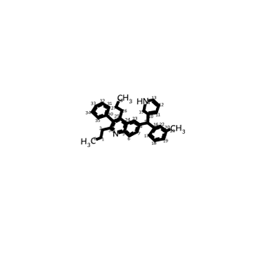 CCCc1nc2ccc(C(C3=CC=CNC3)c3cccc(C)c3)cc2c(CCC)c1-c1ccccc1